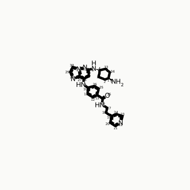 N[C@H]1CC[C@H](Nc2cc(Nc3ccc(C(=O)NCCc4ccncc4)cc3)c3nccn3n2)CC1